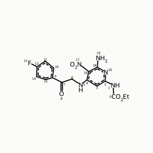 CCOC(=O)Nc1cc(NCC(=O)c2ccc(F)cc2)c([N+](=O)[O-])c(N)n1